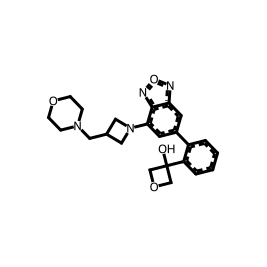 OC1(c2ccccc2-c2cc(N3CC(CN4CCOCC4)C3)c3nonc3c2)COC1